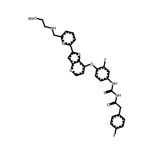 COCCNCc1cccc(-c2cc3nccc(Oc4ccc(NC(=S)NC(=O)Cc5ccc(F)cc5)cc4F)c3s2)n1